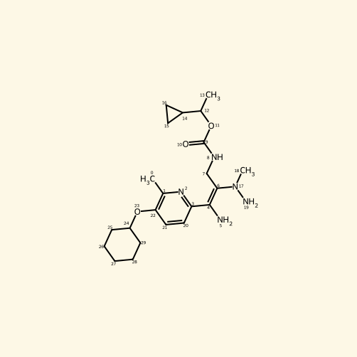 Cc1nc(/C(N)=C(\CNC(=O)OC(C)C2CC2)N(C)N)ccc1OC1CCCCC1